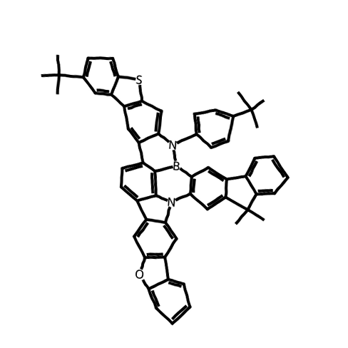 CC(C)(C)c1ccc(N2B3c4cc5c(cc4-n4c6cc7c(cc6c6ccc(c3c64)-c3cc4c(cc32)sc2ccc(C(C)(C)C)cc24)oc2ccccc27)C(C)(C)c2ccccc2-5)cc1